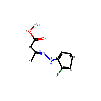 C/C(CC(=O)OC(C)(C)C)=N\Nc1ccccc1F